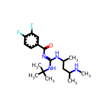 CNC(C)CC(C)N/C(=N\C(=O)c1ccc(F)c(F)c1)NC(C)(C)C